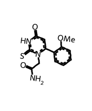 COc1ccccc1-c1cc(=O)[nH]c(=S)n1CC(N)=O